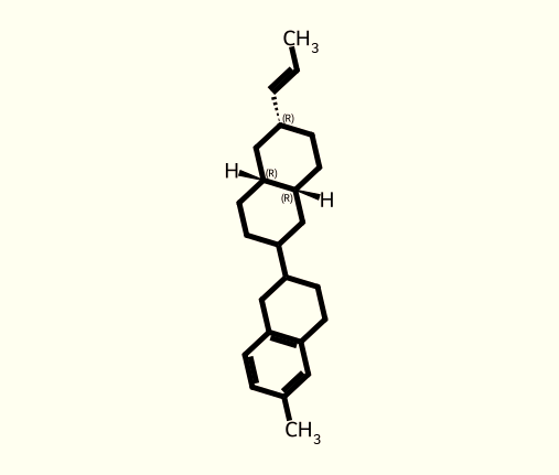 CC=C[C@@H]1CC[C@@H]2CC(C3CCc4cc(C)ccc4C3)CC[C@@H]2C1